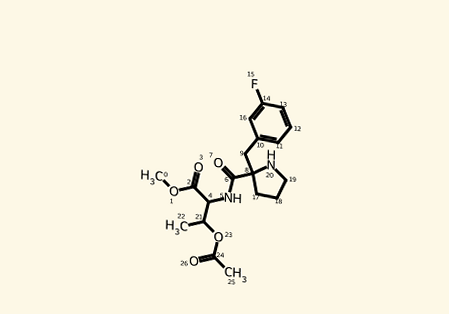 COC(=O)C(NC(=O)C1(Cc2cccc(F)c2)CCCN1)C(C)OC(C)=O